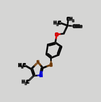 COC(C)(C)COc1ccc(Sc2nc(C)c(C)s2)cc1